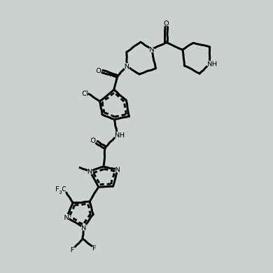 Cn1c(-c2cn(C(F)F)nc2C(F)(F)F)cnc1C(=O)Nc1ccc(C(=O)N2CCN(C(=O)C3CCNCC3)CC2)c(Cl)c1